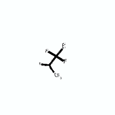 [CH2]CC(F)(F)C(F)C(F)(F)F